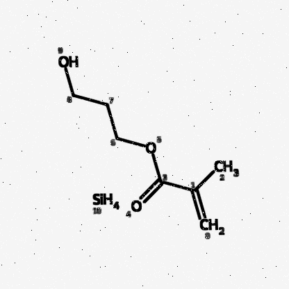 C=C(C)C(=O)OCCCO.[SiH4]